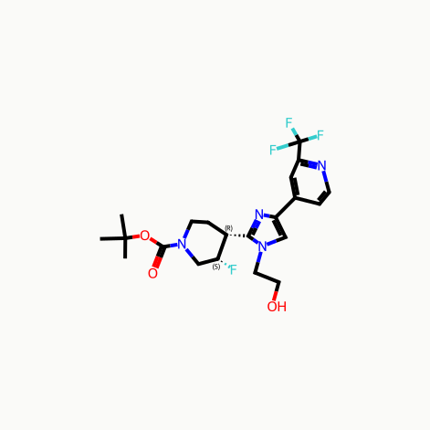 CC(C)(C)OC(=O)N1CC[C@H](c2nc(-c3ccnc(C(F)(F)F)c3)cn2CCO)[C@H](F)C1